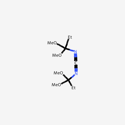 CCC(N=C=NC(CC)(OC)OC)(OC)OC